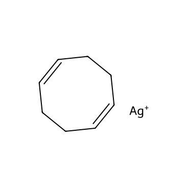 C1=CCCC=CCC1.[Ag+]